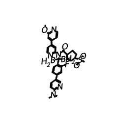 BC(B)(c1ccc(-c2ccc(N(C)C)nc2)cc1F)N(C(=O)C1CCC(S(C)(=O)=O)CC1)c1cc(-c2ccnc(OC)c2)ccn1